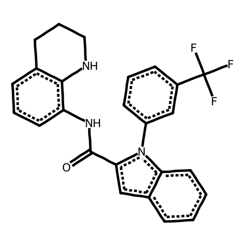 O=C(Nc1cccc2c1NCCC2)c1cc2ccccc2n1-c1cccc(C(F)(F)F)c1